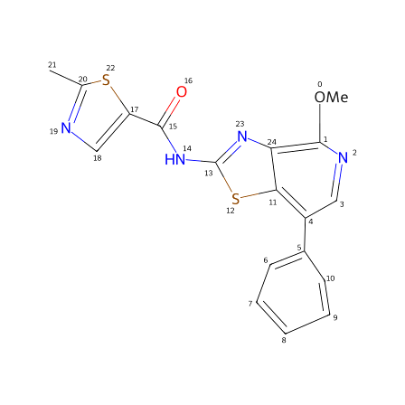 COc1ncc(-c2ccccc2)c2sc(NC(=O)c3cnc(C)s3)nc12